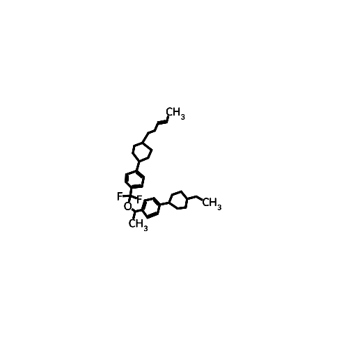 C/C=C/CCC1CCC(c2ccc(C(F)(F)OC(C)c3ccc(C4CCC(CC)CC4)cc3)cc2)CC1